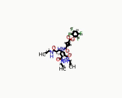 C#CCNC(=O)CCC(CCC(=O)NCC#C)(CCC(=O)NCC#C)NC(=O)C12CC(C(=O)Oc3c(F)c(F)cc(F)c3F)(C1)C2